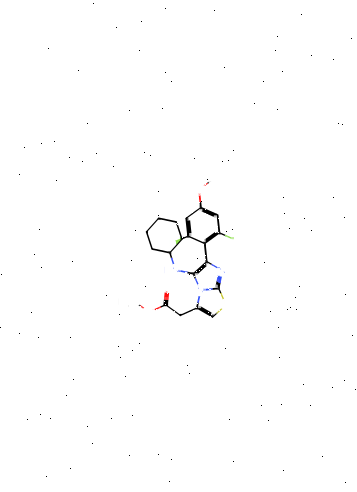 COC(=O)Cc1csc2nc(-c3c(F)cc(OC)cc3F)c(NC3CCCCC3)n12